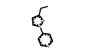 CCc1ccn(-c2ccncc2)n1